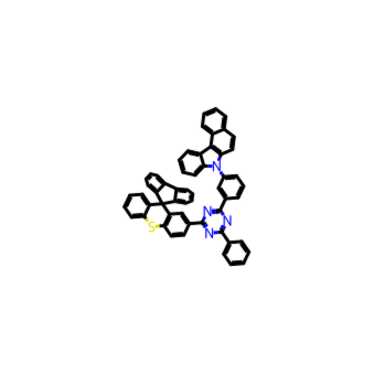 c1ccc(-c2nc(-c3cccc(-n4c5ccccc5c5c6ccccc6ccc54)c3)nc(-c3ccc4c(c3)C3(c5ccccc5S4)c4ccccc4-c4ccccc43)n2)cc1